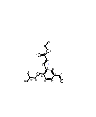 CCOC(=O)/C=C/c1cc(C=O)ccc1OCC(C)C